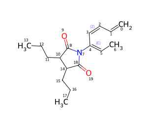 C=C/C=C\C(=C/C)N1C(=O)C(CCC)C(CCC)C1=O